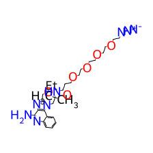 CCOCc1nc2c(N)nc3ccccc3c2n1CC(C)(C)NC(=O)CCOCCOCCOCCOCCN=[N+]=[N-]